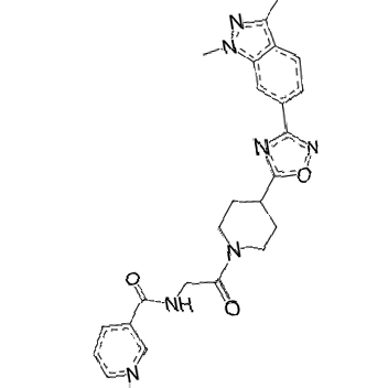 Cc1nn(C)c2cc(-c3noc(C4CCN(C(=O)CNC(=O)c5cccnc5)CC4)n3)ccc12